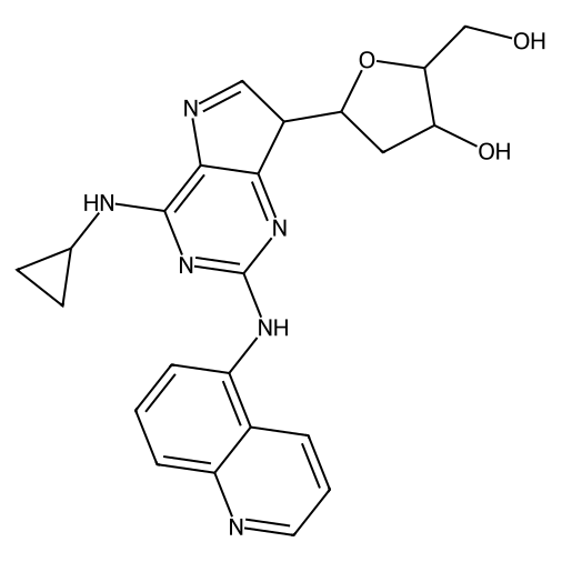 OCC1OC(C2C=Nc3c(NC4CC4)nc(Nc4cccc5ncccc45)nc32)CC1O